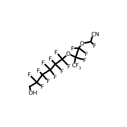 N#CC(F)OC(F)(F)C(F)(OC(F)(F)C(F)(F)C(F)(F)C(F)(F)C(F)(F)CO)C(F)(F)F